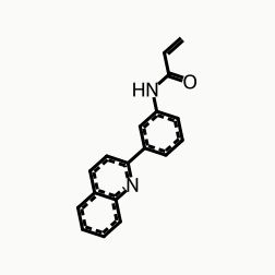 C=CC(=O)Nc1cccc(-c2ccc3ccccc3n2)c1